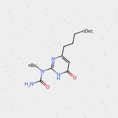 CCCCCCCCCCCCCc1cc(=O)[nH]c(N(CCCC)C(N)=O)n1